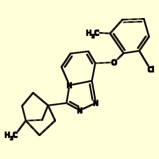 Cc1cccc(Cl)c1Oc1cccn2c(C34CCC(C)(CC3)C4)nnc12